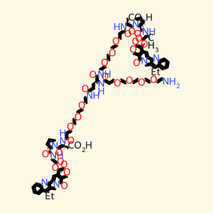 CCc1c2c(nc3ccccc13)-c1cc3c(c(=O)n1C2)COC(=O)[C@H]3OC(=O)CNC(=O)[C@@H]1CCCN1C(=O)[C@H](CC(=O)O)NC(=O)CCOCCOCCOCCNC(=O)CC[C@H](NC(=O)CCOCCOCCOCCOCCN)C(=O)NCCOCCOCCOCCC(=O)N[C@@H](CC(=O)O)C(=O)N1CCC[C@H]1C(=O)NC(C)C(=O)O[C@@H]1C(=O)OCc2c1cc1n(c2=O)Cc2c-1nc1ccccc1c2CC